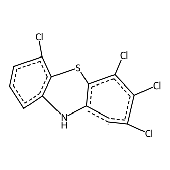 Clc1[c]c2c(c(Cl)c1Cl)Sc1c(Cl)cccc1N2